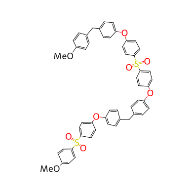 COc1ccc(Cc2ccc(Oc3ccc(S(=O)(=O)c4ccc(Oc5ccc(Cc6ccc(Oc7ccc(S(=O)(=O)c8ccc(OC)cc8)cc7)cc6)cc5)cc4)cc3)cc2)cc1